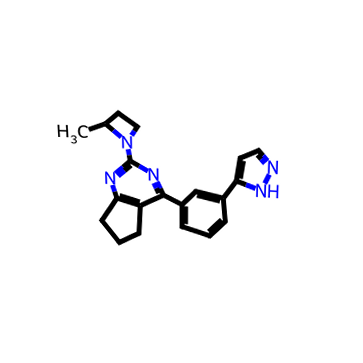 CC1CCN1c1nc2c(c(-c3cccc(-c4ccn[nH]4)c3)n1)CCC2